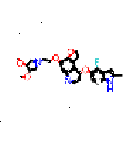 COC1CN(CCOc2cc3nccc(Oc4ccc5[nH]c(C)cc5c4F)c3c3c2OCC3)CC1OC